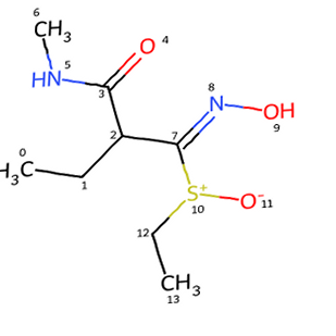 CCC(C(=O)NC)/C(=N/O)[S+]([O-])CC